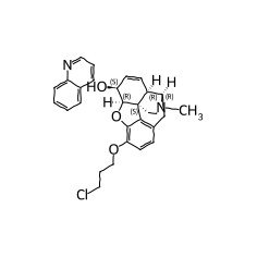 CN1CC[C@]23c4c5ccc(OCCCCl)c4O[C@H]2[C@@H](O)C=C[C@H]3[C@H]1C5.c1ccc2ncccc2c1